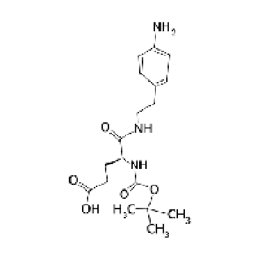 CC(C)(C)OC(=O)N[C@@H](CCC(=O)O)C(=O)NCCc1ccc(N)cc1